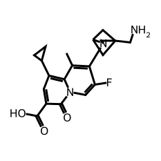 Cc1c(N2CC3(CN)CC2C3)c(F)cn2c(=O)c(C(=O)O)cc(C3CC3)c12